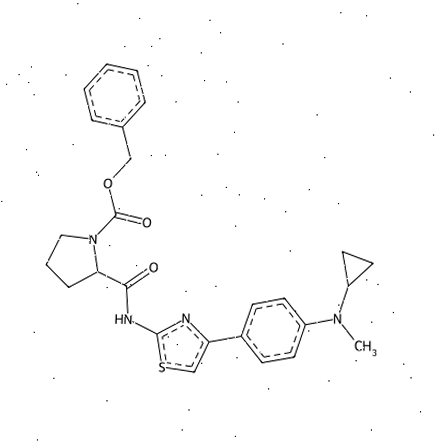 CN(c1ccc(-c2csc(NC(=O)C3CCCN3C(=O)OCc3ccccc3)n2)cc1)C1CC1